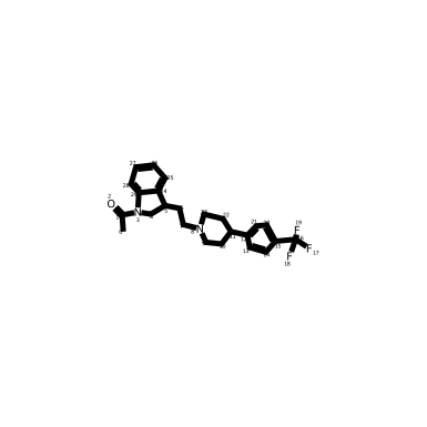 CC(=O)N1CC(CCN2CCC(c3ccc(C(F)(F)F)cc3)CC2)c2ccccc21